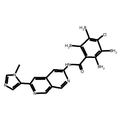 Bc1c(B)c(C(=O)Nc2cc3cc(-c4cncn4C)ncc3cn2)c(B)c(B)c1Cl